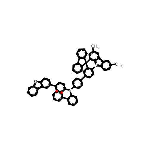 Cc1ccc2c(c1)c1cc(C)cc3c1n2-c1ccc(-c2ccc(N(c4ccc(-c5ccc6oc7ccccc7c6c5)cc4)c4ccccc4-c4ccccc4)cc2)cc1C31c2ccccc2-c2ccccc21